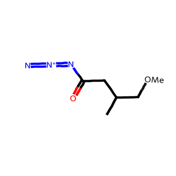 COCC(C)CC(=O)N=[N+]=[N-]